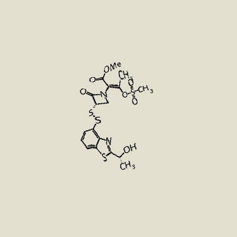 COC(=O)C(=C(C)OS(C)(=O)=O)N1C[C@H](SSc2cccc3sc([C@@H](C)O)nc23)C1=O